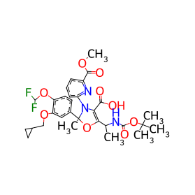 COC(=O)c1cccc(N2C(C(=O)O)=C(C(C)NC(=O)OC(C)(C)C)O[C@@]2(C)c2ccc(OC(F)F)c(OCC3CC3)c2)n1